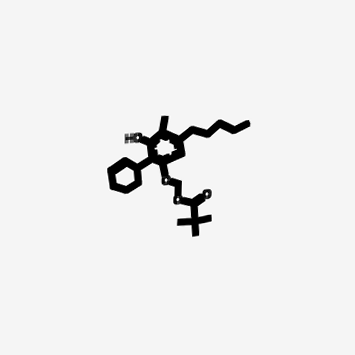 CCCCCc1cc(OCOC(=O)C(C)(C)C)c(C2C=CCCC2)c(O)c1C